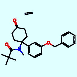 C=C.CN(C(=O)C(C)(C)C)C1(c2cccc(OCc3ccccc3)c2)CCC(=O)CC1